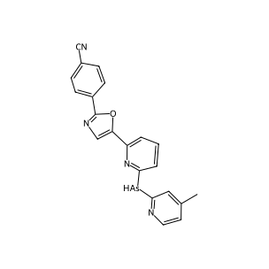 Cc1ccnc([AsH]c2cccc(-c3cnc(-c4ccc(C#N)cc4)o3)n2)c1